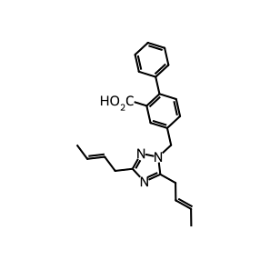 CC=CCc1nc(CC=CC)n(Cc2ccc(-c3ccccc3)c(C(=O)O)c2)n1